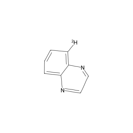 [2H]c1cccc2nccnc12